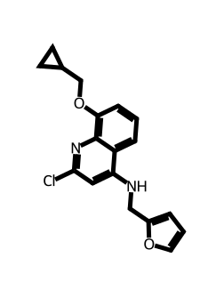 Clc1cc(NCc2ccco2)c2cccc(OCC3CC3)c2n1